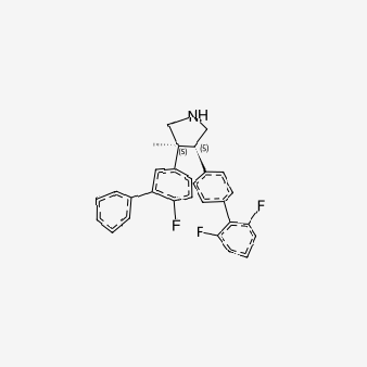 C[C@]1(c2ccc(F)c(-c3ccccc3)c2)CNC[C@H]1c1ccc(-c2c(F)cccc2F)cc1